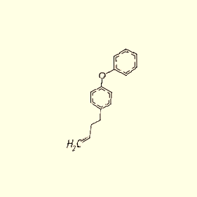 C=CCCc1ccc(Oc2ccccc2)cc1